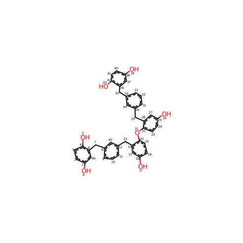 Oc1ccc(O)c(Cc2cccc(Cc3cc(O)ccc3Oc3ccc(O)cc3Cc3cccc(Cc4cc(O)ccc4O)c3)c2)c1